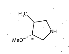 CO[C@H]1CNCC1C